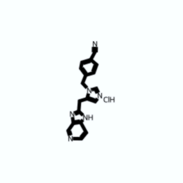 Cl.N#Cc1ccc(Cn2cncc2Cc2nc3cnccc3[nH]2)cc1